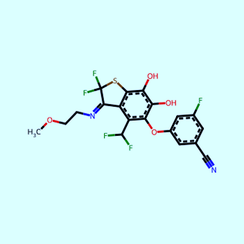 COCCN=C1c2c(c(O)c(O)c(Oc3cc(F)cc(C#N)c3)c2C(F)F)SC1(F)F